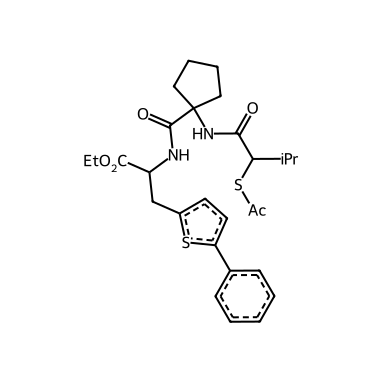 CCOC(=O)C(Cc1ccc(-c2ccccc2)s1)NC(=O)C1(NC(=O)C(SC(C)=O)C(C)C)CCCC1